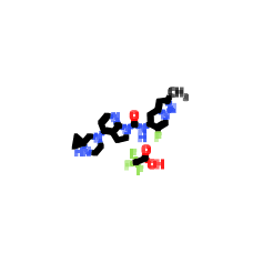 Cc1cc2cc(NC(=O)N3CCc4c(N5CCNC6(CC6)C5)ccnc43)c(F)cn2n1.O=C(O)C(F)(F)F